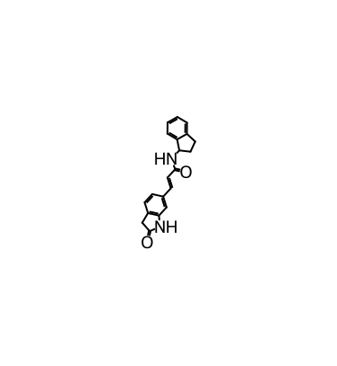 O=C(/C=C/c1ccc2c(c1)NC(=O)C2)NC1CCc2ccccc21